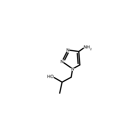 CC(O)Cn1cc(N)nn1